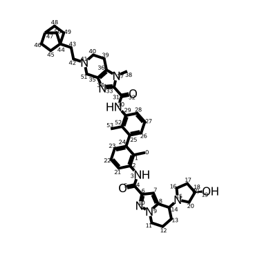 Cc1c(NC(=O)c2cc3n(n2)CCCC3N2CC[C@@H](O)C2)cccc1-c1cccc(NC(=O)c2nc3c(n2C)CCN(CCC24CCC(CC2)C4)C3)c1C